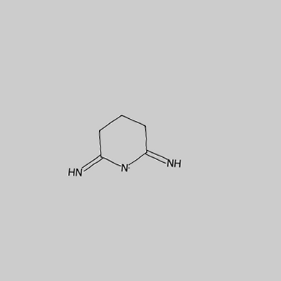 N=C1CCCC(=N)[N]1